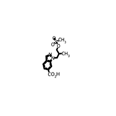 CC(COS(C)(=O)=O)Cn1ncc2ccc(C(=O)O)cc21